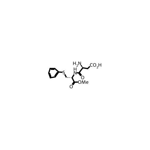 COC(=O)[C@H](CSc1ccccc1)NC(=O)[C@@H](N)CC(=O)O